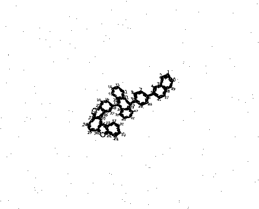 c1ccc2cc(-c3ccc(-c4c5ccccc5c(-c5ccc6oc7ccc8oc9ccccc9c8c7c6c5)c5ccccc45)cc3)ccc2c1